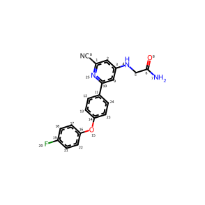 N#Cc1cc(NCC(N)=O)cc(-c2ccc(Oc3ccc(F)cc3)cc2)n1